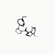 COc1ccc(C2COCCN2C(=O)c2cnn3c(C(F)(F)F)ccnc23)cc1